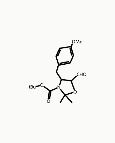 COc1ccc(CC2C(C=O)OC(C)(C)N2C(=O)OC(C)(C)C)cc1